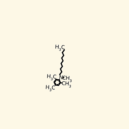 CCCCCCCCCCCN(C)c1c(C)cc(C)cc1C